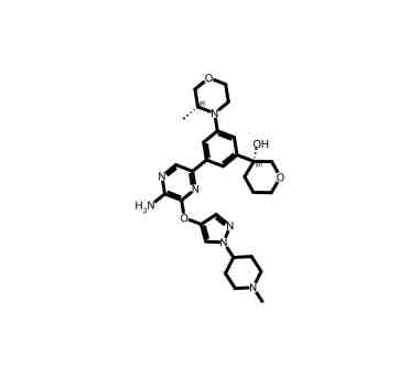 C[C@@H]1COCCN1c1cc(-c2cnc(N)c(Oc3cnn(C4CCN(C)CC4)c3)n2)cc([C@]2(O)CCCOC2)c1